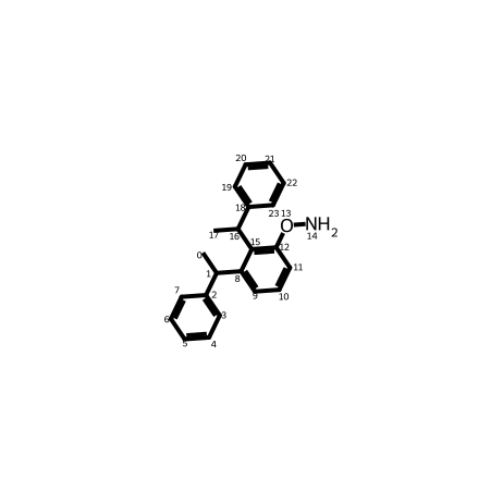 CC(c1ccccc1)c1cccc(ON)c1C(C)c1ccccc1